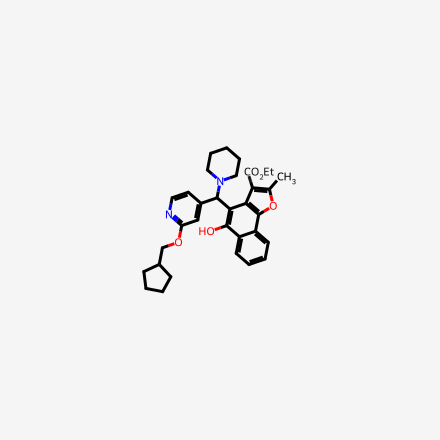 CCOC(=O)c1c(C)oc2c1c(C(c1ccnc(OCC3CCCC3)c1)N1CCCCC1)c(O)c1ccccc12